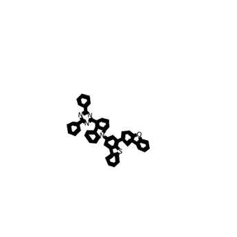 c1ccc(-c2nc(-c3ccccc3)nc(-c3cccc4c3c3ccccc3n4-c3cc(-c4ccc5oc6ccccc6c5c4)c4sc5ccccc5c4c3)n2)cc1